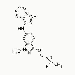 Cn1nc(OCC2CC2(C)F)c2ccc(Nc3n[nH]c4cccnc34)cc21